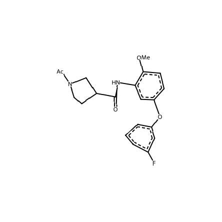 COc1ccc(Oc2cccc(F)c2)cc1NC(=O)C1CCN(C(C)=O)C1